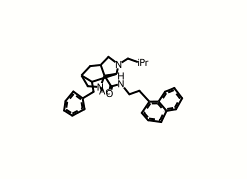 CC(=O)N1CC2CC3CN(CC(C)C)C(C2Cc2ccccc2)C31C(=O)NCCc1cccc2ccccc12